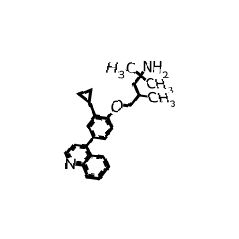 CC(COc1ccc(-c2ccnc3ccccc23)cc1C1CC1)CC(C)(C)N